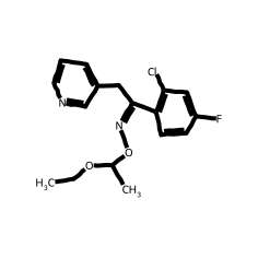 CCOC(C)ON=C(Cc1cccnc1)c1ccc(F)cc1Cl